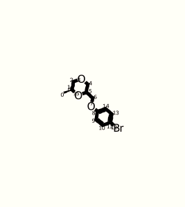 C[C@H]1COCC(COc2ccc(Br)cc2)O1